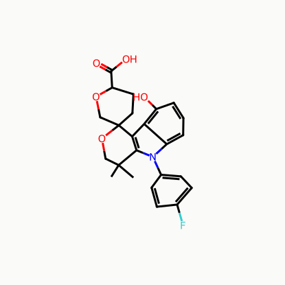 CC1(C)COC2(CCC(C(=O)O)OC2)c2c1n(-c1ccc(F)cc1)c1cccc(O)c21